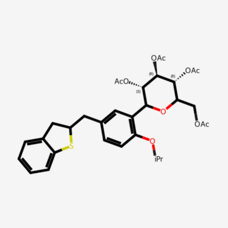 CC(=O)OCC1OC(c2cc(CC3Cc4ccccc4S3)ccc2OC(C)C)[C@H](OC(C)=O)[C@@H](OC(C)=O)[C@@H]1OC(C)=O